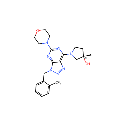 C[C@]1(O)CCN(c2nc(N3CCOCC3)nc3c2nnn3Cc2ccccc2C(F)(F)F)C1